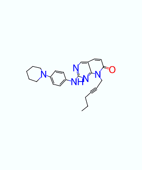 CCCC#CCn1c(=O)ccc2cnc(Nc3ccc(N4CCCCC4)cc3)nc21